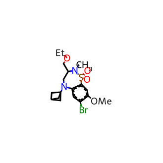 CCOCC1CN(C23CC(C2)C3)c2cc(Br)c(OC)cc2S(=O)(=O)N1C